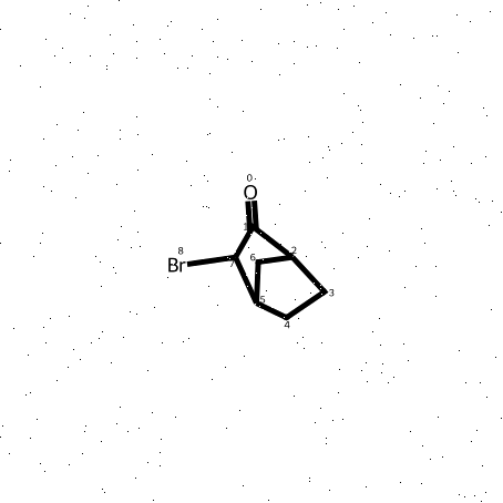 O=C1C2CCC(C2)C1Br